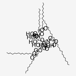 CCCCCCCCCCCCCC(=O)O[C@H](CCCCCCCCCCC)CC(=O)NCC(OCC(CO)(CNC(=O)C[C@@H](CCCCCCCCCCC)OC(=O)CCCCCCCCCCCCC)COP(=O)(O)O)OC(CO)[C@H](COC(=O)C[C@@H](CCCCCCCCCCC)OC(=O)CCCCCCCCCCCCC)OP(=O)(O)O